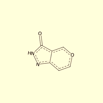 O=c1[nH]nc2ccocc1-2